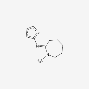 CN1CCCCCC1=Nc1cccs1